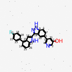 Oc1cncc(-c2ccc3[nH]nc(-c4cc5c(-c6ccc(F)cc6)cccc5[nH]4)c3c2)c1